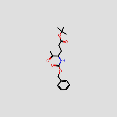 CC(=O)C(CCC(=O)OC(C)(C)C)NC(=O)OCc1ccccc1